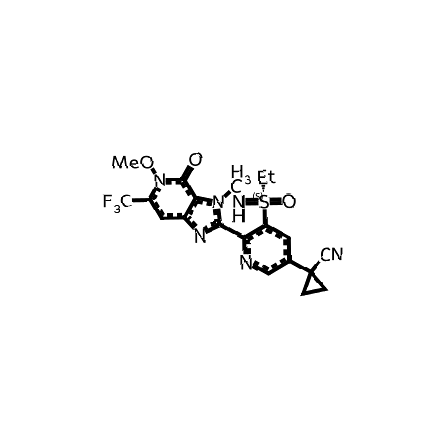 CC[S@](=N)(=O)c1cc(C2(C#N)CC2)cnc1-c1nc2cc(C(F)(F)F)n(OC)c(=O)c2n1C